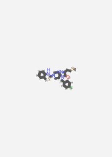 CSCCC1NC2(CCN(C(=S)Nc3ccccc3C)CC2)N(Cc2ccc(F)cc2)C1=O